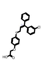 O=C(O)COc1ccc(SC/C=C(/c2ccccc2)c2cccc(Cl)c2)cc1